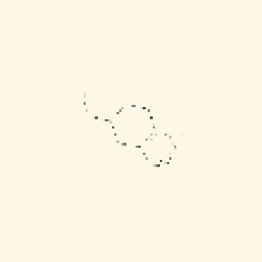 NCC1CCc2scnc2C1